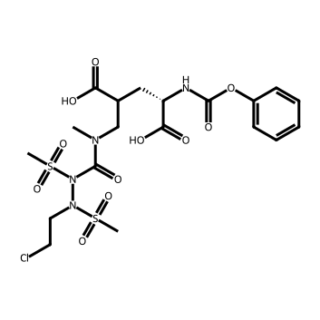 CN(CC(C[C@H](NC(=O)Oc1ccccc1)C(=O)O)C(=O)O)C(=O)N(N(CCCl)S(C)(=O)=O)S(C)(=O)=O